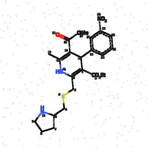 CCOC(=O)C1=C(CSCC2CCCN2)NC(C)=C(C(=O)OC)C1c1cccc([N+](=O)[O-])c1